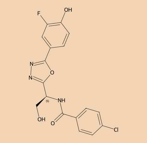 O=C(N[C@@H](CO)c1nnc(-c2ccc(O)c(F)c2)o1)c1ccc(Cl)cc1